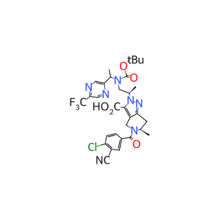 CC(c1cnc(C(F)(F)F)cn1)N(C[C@@H](C)n1nc2c(c1C(=O)O)CN(C(=O)c1ccc(Cl)c(C#N)c1)[C@H](C)C2)C(=O)OC(C)(C)C